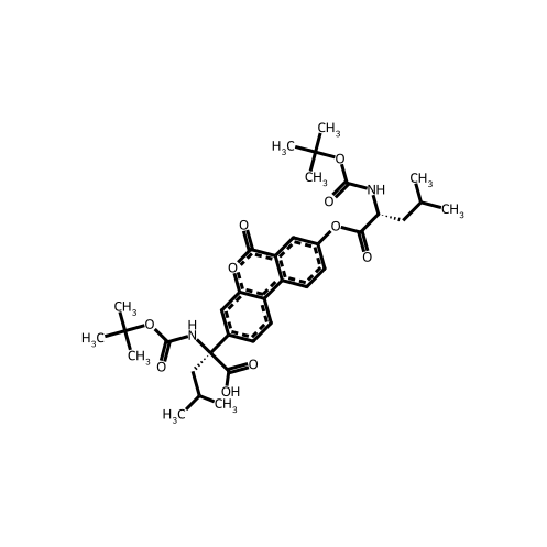 CC(C)C[C@@H](NC(=O)OC(C)(C)C)C(=O)Oc1ccc2c(c1)c(=O)oc1cc([C@](CC(C)C)(NC(=O)OC(C)(C)C)C(=O)O)ccc12